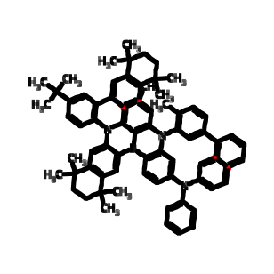 Cc1cc2c3c(c1)N(c1ccc(C(C)(C)C)cc1-c1ccc4c(c1)C(C)(C)CCC4(C)C)c1cc4c(cc1B3c1ccc(N(c3ccccc3)c3ccccc3)cc1N2c1cc(-c2ccccc2)ccc1C)C(C)(C)CCC4(C)C